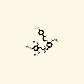 COc1cc(OC)c(CCS(=O)(=O)Cc2ccc(OC)c(N/C=C\C(=O)c3ccc(C)cc3)n2)c(OC)c1